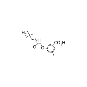 Cc1cc(OCC(=O)NCC(C)(C)N)cc(C(=O)O)c1